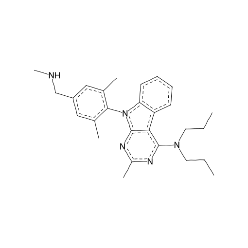 CCCN(CCC)c1nc(C)nc2c1c1ccccc1n2-c1c(C)cc(CNC)cc1C